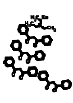 CCN(CC)CC.O=C(CC(=O)c1ccccc1)c1ccccc1.O=C(CC(=O)c1ccccc1)c1ccccc1.O=C(CC(=O)c1ccccc1)c1ccccc1.O=C(CC(=O)c1ccccc1)c1ccccc1.[Eu]